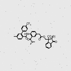 CCOC(=O)C1(COC(=O)Cc2ccc(NC(=O)c3ccc(C)cc3-c3ccc(C(F)(F)F)cc3)c(C(=O)N(C)C)c2)c2ccccc2C(=O)N1C